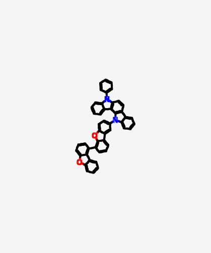 c1ccc(-n2c3ccccc3c3c2ccc2c4ccccc4n(-c4ccc5oc6c(-c7cccc8oc9ccccc9c78)cccc6c5c4)c23)cc1